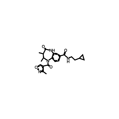 Cc1nocc1C(=O)N1c2ccc(C(=O)NCCC3CC3)cc2NC(=O)C(C)C1C